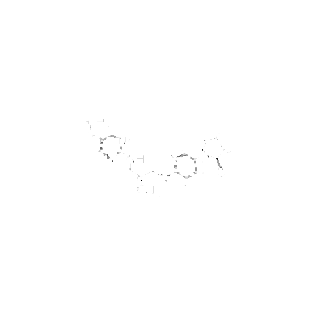 CSc1cnc(NCC(C)CNc2ccc(N3CCCC3=O)cn2)nc1